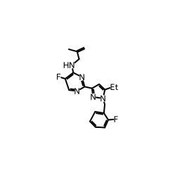 C=C(C)CNc1nc(-c2cc(CC)n(Cc3ccccc3F)n2)ncc1F